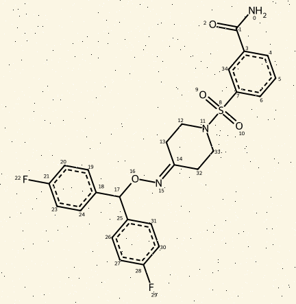 NC(=O)c1cccc(S(=O)(=O)N2CCC(=NOC(c3ccc(F)cc3)c3ccc(F)cc3)CC2)c1